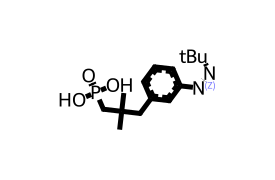 CC(C)(Cc1cccc(/N=N\C(C)(C)C)c1)CP(=O)(O)O